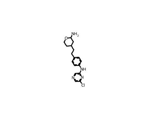 NC1CC(CCc2ccc(Nc3cncc(Cl)n3)cc2)CCO1